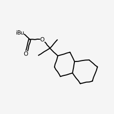 CCC(C)C(=O)OC(C)(C)C1CCC2CCCCC2C1